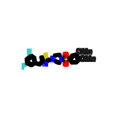 COc1ccc(S(=O)(=O)N2CCN(c3nc(Cc4cc(F)cc(F)c4)cs3)CC2)cc1OC